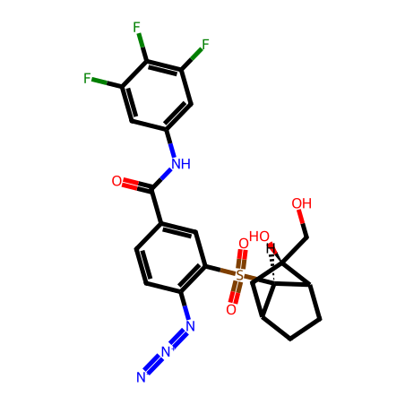 [N-]=[N+]=Nc1ccc(C(=O)Nc2cc(F)c(F)c(F)c2)cc1S(=O)(=O)[C@@H]1C2CCC1[C@@](O)(CO)C2